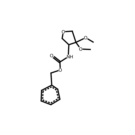 COC1(OC)COCC1NC(=O)OCc1ccccc1